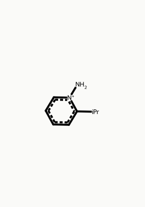 CC(C)c1cccc[n+]1N